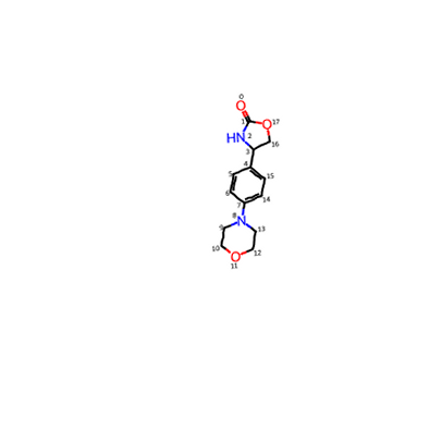 O=C1NC(c2ccc(N3CCOCC3)cc2)CO1